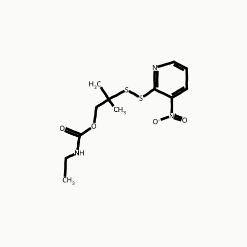 CCNC(=O)OCC(C)(C)SSc1ncccc1[N+](=O)[O-]